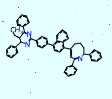 CCC1C(c2ccccc2)=NC(c2ccc(-c3ccc(/C4=C/C(c5ccccc5)=N\C(c5ccccc5)CCC4)c4ccccc34)cc2)=NC1c1ccccc1